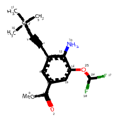 COC(=O)c1cc(C#C[Si](C)(C)C)c(N)c(OC(F)F)c1